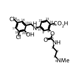 CNCCCNC(=O)Oc1cc(NCc2cc(Cl)cc(Cl)c2O)ccc1C(=O)O